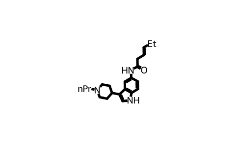 CCC=CCC(=O)Nc1ccc2[nH]cc(C3CCN(CCC)CC3)c2c1